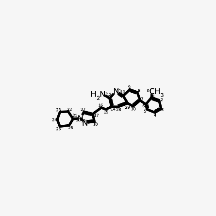 Cc1ccccc1-c1ccc2nc(N)c(CCc3cnn(C4CCCCC4)c3)cc2c1